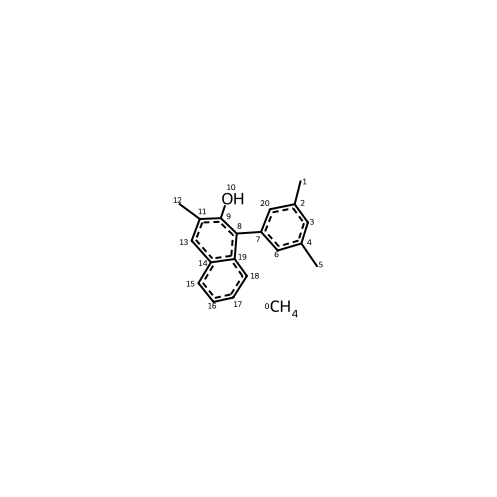 C.Cc1cc(C)cc(-c2c(O)c(C)cc3ccccc23)c1